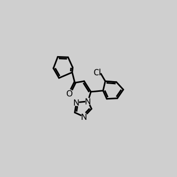 O=C(C=C(c1ccccc1Cl)n1cncn1)c1ccccc1